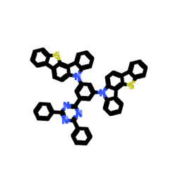 c1ccc(-c2nc(-c3ccccc3)nc(-c3cc(-n4c5ccccc5c5c6sc7ccccc7c6ccc54)cc(-n4c5ccccc5c5c6sc7ccccc7c6ccc54)c3)n2)cc1